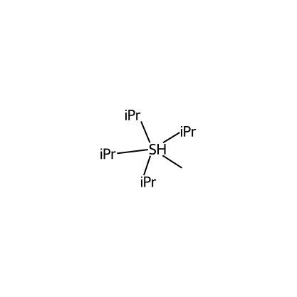 CC(C)[SH](C)(C(C)C)(C(C)C)C(C)C